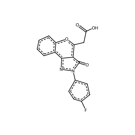 O=C(O)Cc1oc2ccccc2c2nn(-c3ccc(F)cc3)c(=O)c1-2